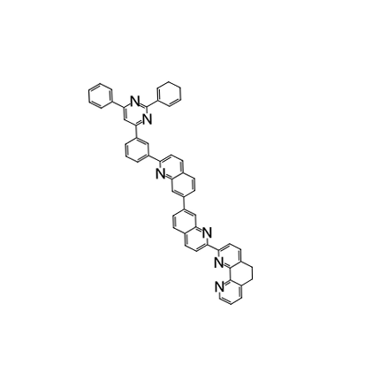 C1=CC(c2nc(-c3ccccc3)cc(-c3cccc(-c4ccc5ccc(-c6ccc7ccc(-c8ccc9c(n8)-c8ncccc8CC9)nc7c6)cc5n4)c3)n2)=CCC1